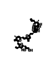 C=CC[C@@H]1O[C@@H]2[C@H]3O[C@@H]4C[C@@](CC[C@H]5CC(=C)C(CC[C@H]6C[C@@H](C)C(=C)[C@@H](CC7O[C@H](C[C@H](O)CO)[C@H](C)[C@H]7CC)O6)O5)(O[C@H]24)O[C@H]3[C@H]1C